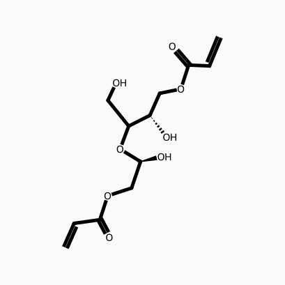 C=CC(=O)OC[C@H](O)OC(CO)[C@@H](O)COC(=O)C=C